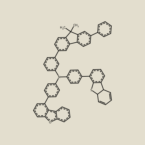 CC1(C)c2ccc(-c3cccc(N(c4ccc(-c5cccc6c5SC5C=CC=CC65)cc4)c4ccc(-c5cccc6oc7ccccc7c56)cc4)c3)cc2-c2ccc(-c3ccccc3)cc21